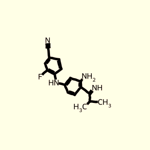 CC(C)C(=N)c1ccc(Nc2ccc(C#N)cc2F)cc1N